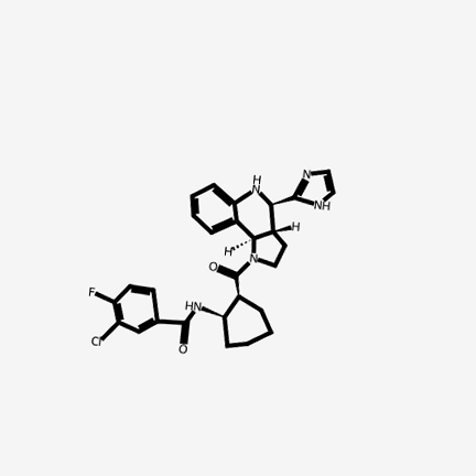 O=C(N[C@@H]1CCCC[C@@H]1C(=O)N1CC[C@H]2[C@H](c3ncc[nH]3)Nc3ccccc3[C@@H]21)c1ccc(F)c(Cl)c1